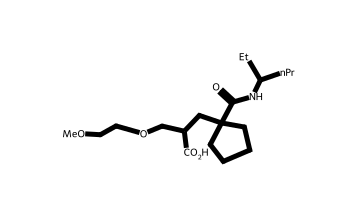 CCCC(CC)NC(=O)C1(CC(COCCOC)C(=O)O)CCCC1